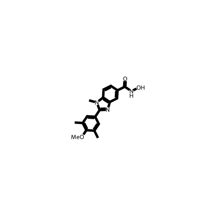 COc1c(C)cc(-c2nc3cc(C(=O)NO)ccc3n2C)cc1C